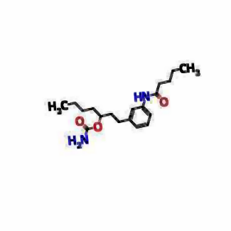 CCCCC(=O)Nc1cccc(CCC(CCCC)OC(N)=O)c1